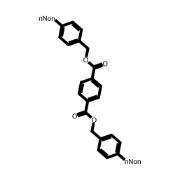 CCCCCCCCCc1ccc(COC(=O)c2ccc(C(=O)OCc3ccc(CCCCCCCCC)cc3)cc2)cc1